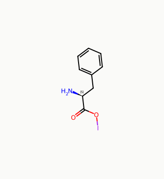 N[C@@H](Cc1ccccc1)C(=O)OI